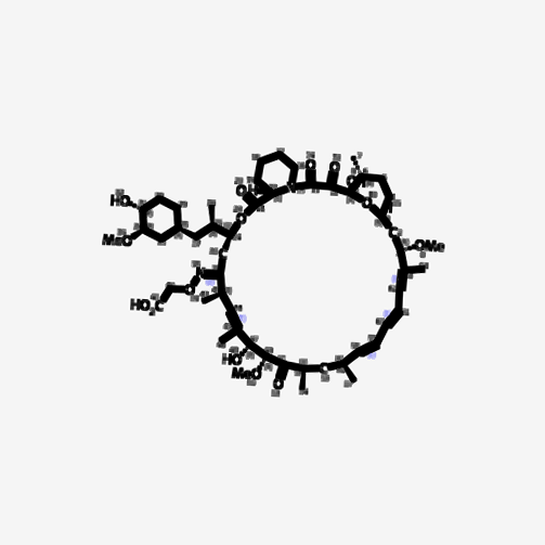 CO[C@H]1C[C@@H]2CC[C@@H](C)[C@@](O)(O2)C(=O)C(=O)N2CCCC[C@H]2C(=O)O[C@H]([C@H](C)C[C@@H]2CC[C@@H](O)[C@H](OC)C2)C/C(=N/OCC(=O)O)[C@H](C)/C=C(\C)[C@@H](O)[C@@H](OC)C(=O)[C@H](C)C[C@H](C)/C=C/C=C/C=C/1C